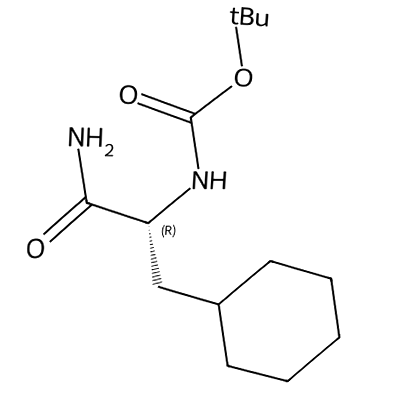 CC(C)(C)OC(=O)N[C@H](CC1CCCCC1)C(N)=O